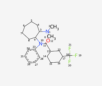 CN(C)C1CCCCCC1N(C(=O)C1CCCC(C(F)(F)F)C1)c1ccccc1